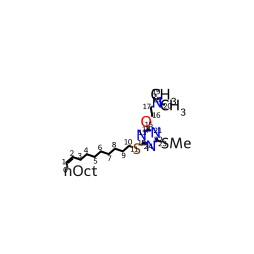 CCCCCCCC/C=C\CCCCCCCCSc1nc(OCCN(C)C)nc(SC)n1